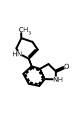 CC1CC=C(c2cccc3c2CC(=O)N3)NC1